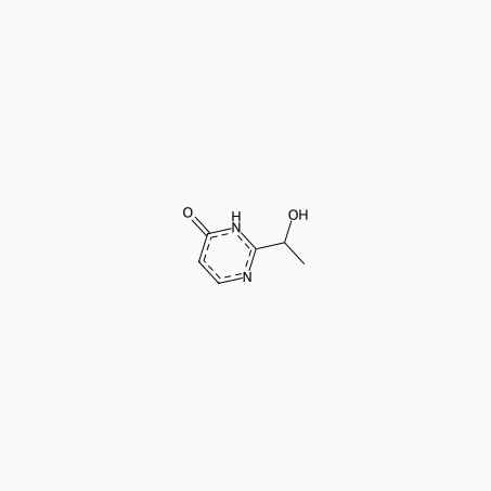 CC(O)c1nccc(=O)[nH]1